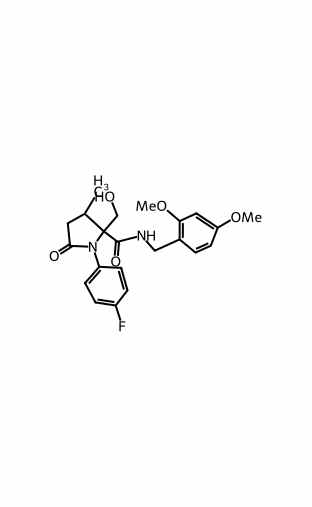 COc1ccc(CNC(=O)C2(CO)C(C)CC(=O)N2c2ccc(F)cc2)c(OC)c1